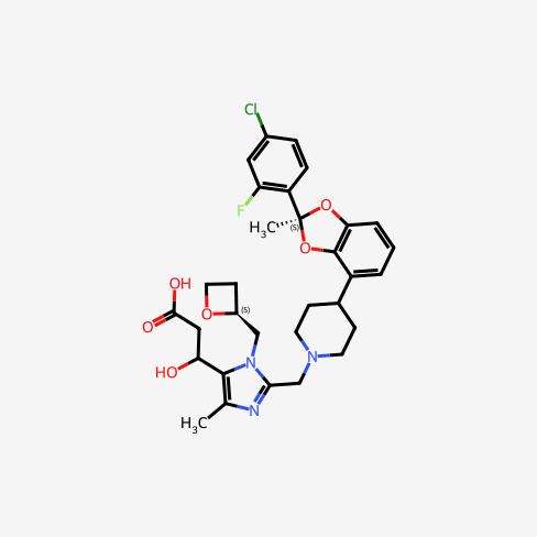 Cc1nc(CN2CCC(c3cccc4c3O[C@@](C)(c3ccc(Cl)cc3F)O4)CC2)n(C[C@@H]2CCO2)c1C(O)CC(=O)O